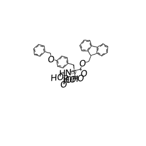 O=C(O)[C@](Cc1ccc(OCc2ccccc2)cc1)(NP(=O)(O)O)C(=O)OCC1c2ccccc2-c2ccccc21